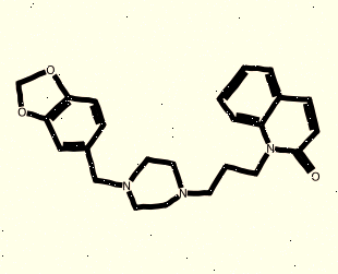 O=c1ccc2ccccc2n1CCCN1CCN(Cc2ccc3c(c2)OCO3)CC1